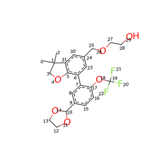 CC1(C)COc2c(-c3cc(C4OCCO4)ccc3OC(F)(F)F)cc(COCCO)cc21